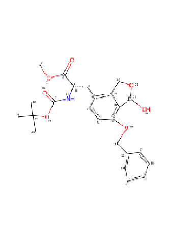 COC(=O)[C@H](Cc1ccc(OCc2ccccc2)c2c1COB2O)NC(=O)OC(C)(C)C